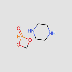 C1CNCCN1.O=[PH]1OCO1